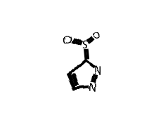 O=S(=O)=C1C=CN=N1